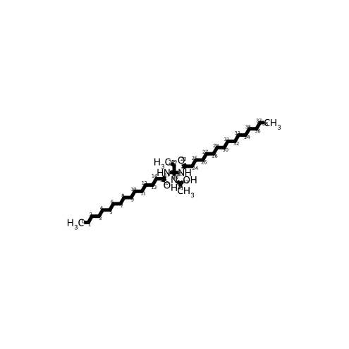 CCCCCCCCCCCCCCCC(=O)NC(CC)(NC(=O)CCCCCCCCCCCCCCC)NC(C)O